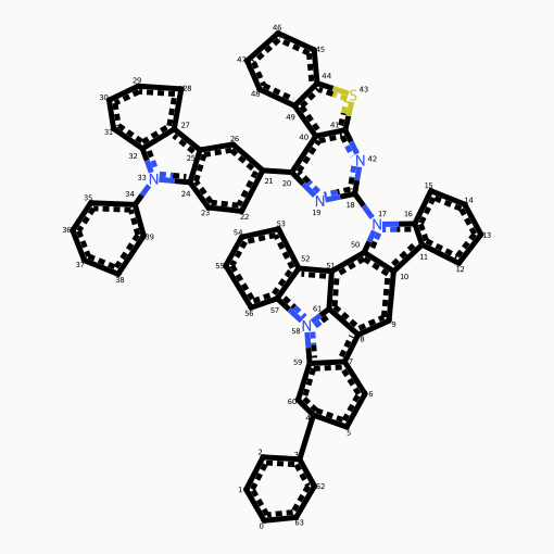 c1ccc(-c2ccc3c4cc5c6ccccc6n(-c6nc(-c7ccc8c(c7)c7ccccc7n8-c7ccccc7)c7c(n6)sc6ccccc67)c5c5c6ccccc6n(c3c2)c45)cc1